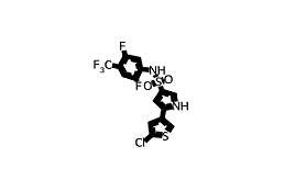 O=S(=O)(Nc1cc(F)c(C(F)(F)F)cc1F)c1c[nH]c(-c2csc(Cl)c2)c1